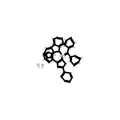 C1=C(c2ccccc2)C[C]([Zr+2](=[C](c2ccccc2)c2ccccc2)[CH]2c3ccccc3-c3ccccc32)=C1c1ccccc1.[Cl-].[Cl-]